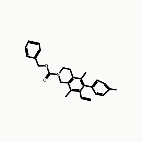 C=Cc1c(C)c2c(c(C)c1-c1ccc(C)cc1)CCN(C(=O)OCc1ccccc1)C2